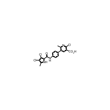 Cc1nc(Cl)c(C(=O)O)cc1-c1ccc(NC(=O)c2[nH]c(C)c(Cl)c2Cl)cc1